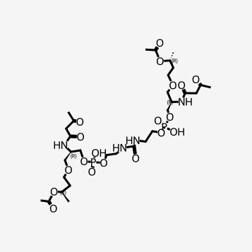 CC(=O)CC(=O)N[C@H](COCC[C@@H](C)OC(C)=O)COP(=O)(O)OCCNC(=O)NCCOP(=O)(O)OC[C@@H](COCC[C@@H](C)OC(C)=O)NC(=O)CC(C)=O